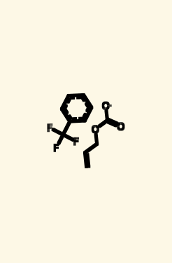 C=CCOC([O])=O.FC(F)(F)c1ccccc1